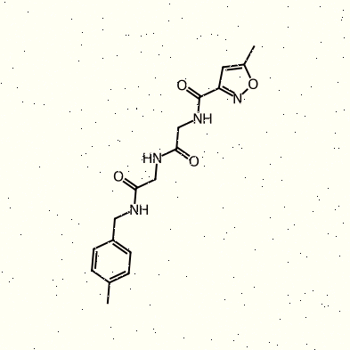 Cc1ccc(CNC(=O)CNC(=O)CNC(=O)c2cc(C)on2)cc1